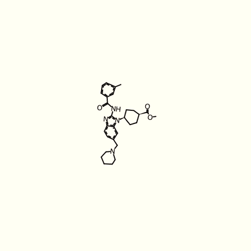 COC(=O)[C@H]1CC[C@@H](n2c(NC(=O)c3cccc(C)c3)nc3ccc(CN4CCCCC4)cc32)CC1